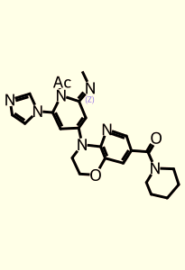 C/N=c1/cc(N2CCOc3cc(C(=O)N4CCCCC4)cnc32)cc(-n2ccnc2)n1C(C)=O